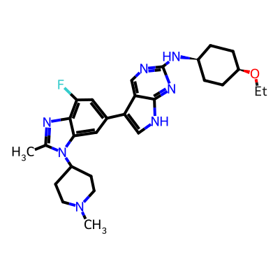 CCO[C@H]1CC[C@@H](Nc2ncc3c(-c4cc(F)c5nc(C)n(C6CCN(C)CC6)c5c4)c[nH]c3n2)CC1